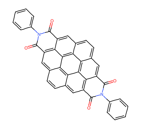 O=c1c2cc3ccc4cc5c(=O)n(-c6ccccc6)c(=O)c6cc7ccc8cc(c(=O)n1-c1ccccc1)c2c1c3c4c(c56)c7c81